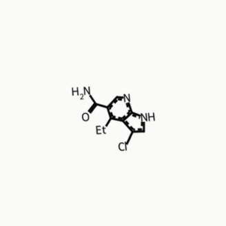 CCc1c(C(N)=O)cnc2[nH]cc(Cl)c12